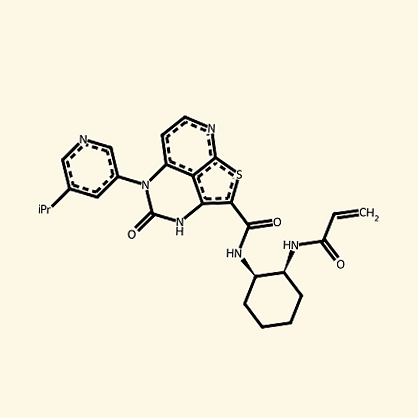 C=CC(=O)N[C@H]1CCCC[C@H]1NC(=O)c1sc2nccc3c2c1NC(=O)N3c1cncc(C(C)C)c1